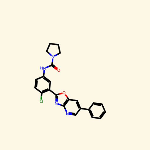 O=C(Nc1ccc(Cl)c(-c2nc3ncc(-c4ccccc4)cc3o2)c1)N1CCCC1